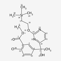 COC(=O)c1cc(C(C)(O)c2ccnc(OCC[Si](C)(C)C)n2)ccc1Cl